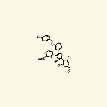 CSc1nccc(-c2c(-c3cccc(OCc4ccc(Cl)cc4)c3)nc(-c3c(Cl)cc(CO)cc3Cl)n2O)n1